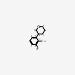 Fc1cccc(C2CCCOC2)c1F